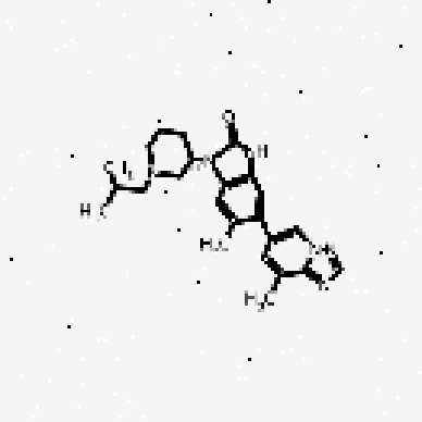 Cc1cc2c(cc1-c1cc(C)c3ncnn3c1)[nH]c(=O)n2[C@@H]1CCCN(CC(C)C)C1